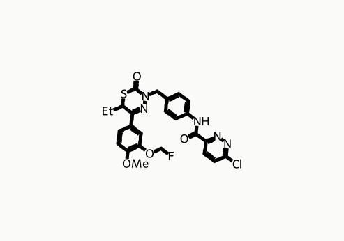 CCC1SC(=O)N(Cc2ccc(NC(=O)c3ccc(Cl)nn3)cc2)N=C1c1ccc(OC)c(OCF)c1